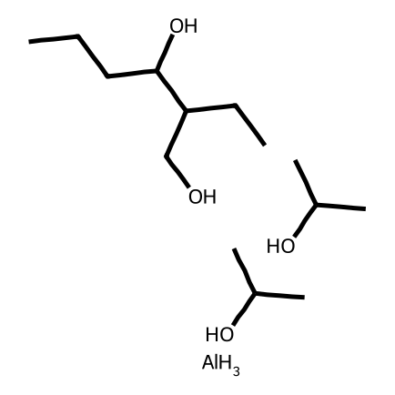 CC(C)O.CC(C)O.CCCC(O)C(CC)CO.[AlH3]